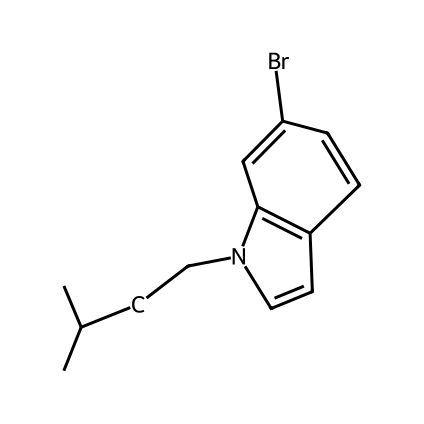 CC(C)CCn1ccc2ccc(Br)cc21